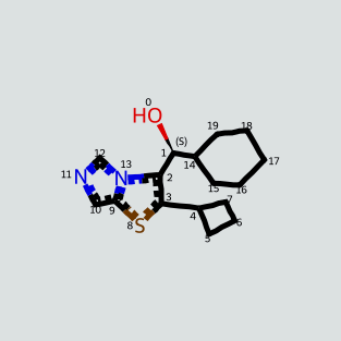 O[C@H](c1c(C2CCC2)sc2cncn12)C1CCCCC1